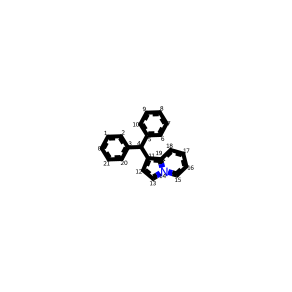 c1ccc(C(c2ccccc2)c2ccn3ccccc23)cc1